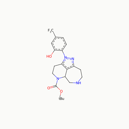 CC(C)(C)OC(=O)N1CCc2c3c(nn2-c2ccc(C(F)(F)F)cc2O)CCNCC31